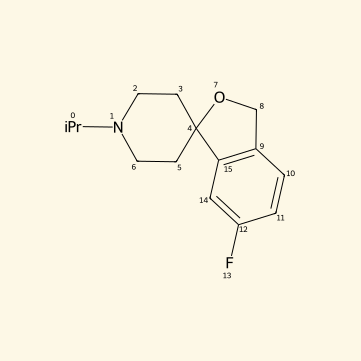 CC(C)N1CCC2(CC1)OCc1ccc(F)cc12